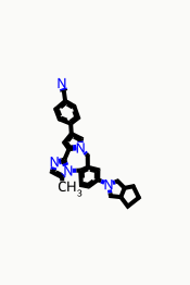 Cc1cnc2n1-c1ccc(N3CC4CCCC4C3)cc1Cn1cc(-c3ccc(C#N)cc3)cc1-2